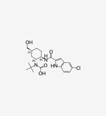 CC(C)(C)N(C(=O)O)[C@@H]1C[C@@H](CO)CC[C@H]1NC(=O)c1cc2cc(Cl)ccc2[nH]1